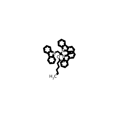 C=CCCCC([SiH3])OC(Cn1c2ccccc2c2ccccc21)(n1c2ccccc2c2ccccc21)n1c2ccccc2c2ccccc21